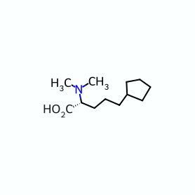 CN(C)[C@H](CCCC1CCCC1)C(=O)O